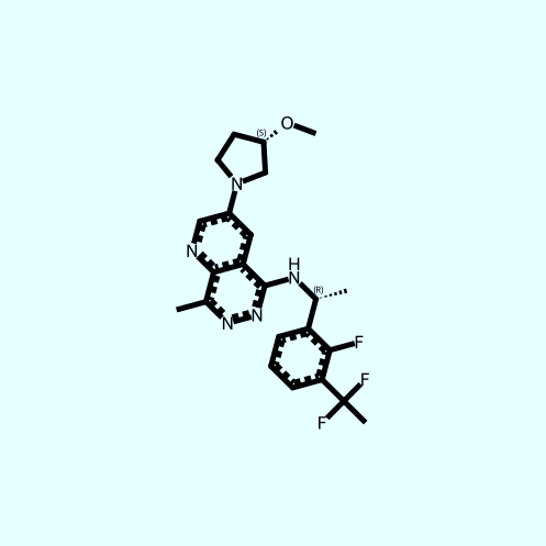 CO[C@H]1CCN(c2cnc3c(C)nnc(N[C@H](C)c4cccc(C(C)(F)F)c4F)c3c2)C1